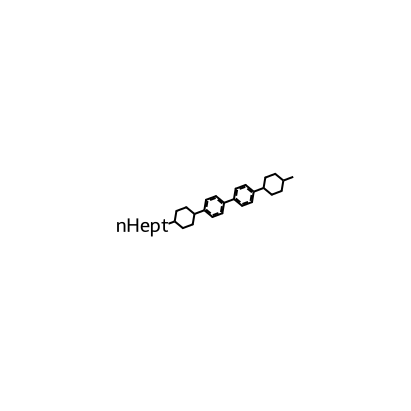 CCCCCCCC1CCC(c2ccc(-c3ccc(C4CCC(C)CC4)cc3)cc2)CC1